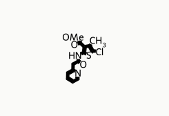 COC(=O)c1c(NC(=O)Cc2ccccn2)sc(Cl)c1C